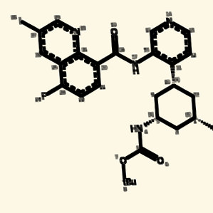 C[C@@H]1C[C@H](NC(=O)OC(C)(C)C)C[C@H](c2ccncc2NC(=O)c2ccc(F)c3cc(I)cnc23)C1